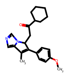 COc1ccc(C2=C(C)c3cncn3C2CC(=O)C2CCCCC2)cc1